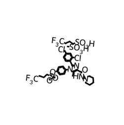 CS(=O)(=O)O.Cc1c(C(=O)NN2CCCCC2)nc(-c2ccc(Cl)cc2Cl)n1-c1ccc(OS(=O)(=O)CCCC(F)(F)F)cc1.O=S(=O)(O)CCCC(F)(F)F